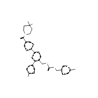 Nc1ccc(CNC(=O)NCc2ccc(-c3ccc(C(=O)N4CCC(F)(F)CC4)cc3)cc2-c2ccc(F)cc2)cn1